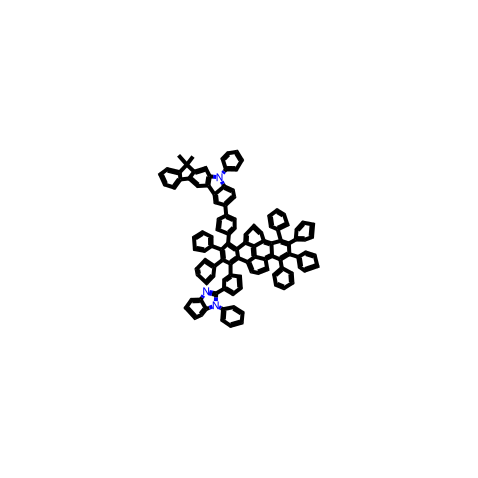 CC1(C)c2ccccc2-c2cc3c4cc(-c5ccc(-c6c(-c7ccccc7)c(-c7ccccc7)c(-c7cccc(-c8nc9ccccc9n8-c8ccccc8)c7)c7c8cccc9c%10c(-c%11ccccc%11)c(-c%11ccccc%11)c(-c%11ccccc%11)c(-c%11ccccc%11)c%10c%10cccc(c67)c%10c98)cc5)ccc4n(-c4ccccc4)c3cc21